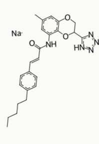 CCCCCc1ccc(C=CC(=O)Nc2cc(C)cc3c2OC(c2nnn[nH]2)CO3)cc1.[Na]